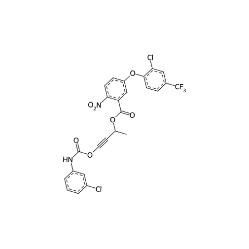 CC(C#COC(=O)Nc1cccc(Cl)c1)OC(=O)c1cc(Oc2ccc(C(F)(F)F)cc2Cl)ccc1[N+](=O)[O-]